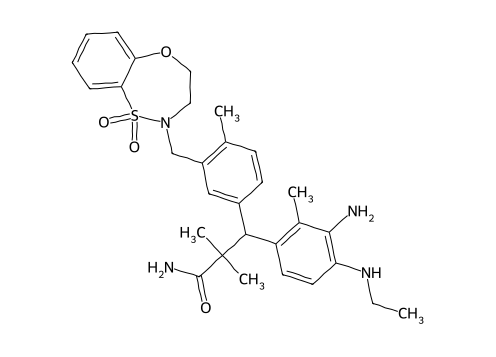 CCNc1ccc(C(c2ccc(C)c(CN3CCOc4ccccc4S3(=O)=O)c2)C(C)(C)C(N)=O)c(C)c1N